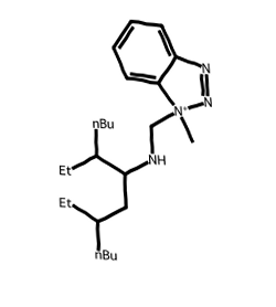 CCCCC(CC)CC(NC[N+]1(C)N=Nc2ccccc21)C(CC)CCCC